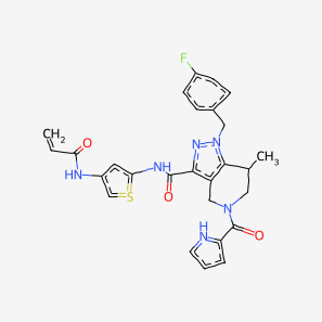 C=CC(=O)Nc1csc(NC(=O)c2nn(Cc3ccc(F)cc3)c3c2CN(C(=O)c2ccc[nH]2)CC3C)c1